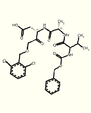 CC(C)C(NC(=O)OCc1ccccc1)C(=O)N[C@@H](C)C(=O)N[C@@H](CC(=O)O)C(=O)COCc1c(Cl)cccc1Cl